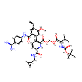 C=Cc1cc(C(=O)Nc2ccc(C(=N)N)cc2)c(-c2ccc(C(=O)NCC3CC3)nc2C(=O)OCOC(=O)[C@@H](NC(=O)OC(C)(C)C)C(C)C)cc1OC